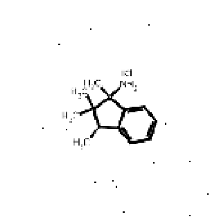 C[C@@H]1c2ccccc2[C@@](C)(N)C1(C)C.Cl